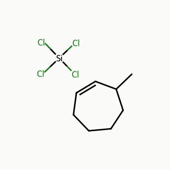 CC1C=CCCCC1.Cl[Si](Cl)(Cl)Cl